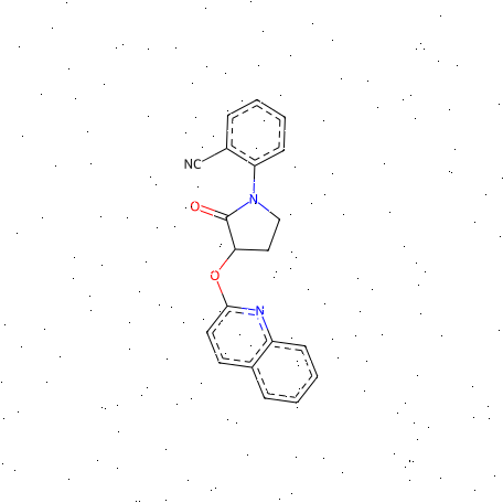 N#Cc1ccccc1N1CCC(Oc2ccc3ccccc3n2)C1=O